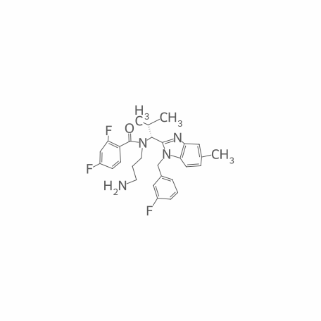 Cc1ccc2c(c1)nc([C@@H](C(C)C)N(CCCN)C(=O)c1ccc(F)cc1F)n2Cc1cccc(F)c1